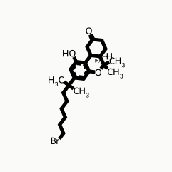 CC(C)(CCCCCCBr)c1cc(O)c2c(c1)OC(C)(C)[C@@H]1CCC(=O)CC21